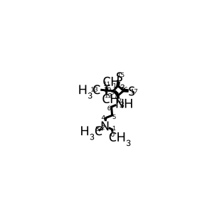 CCN(C)CCCNc1c(C(C)(C)C)c(=S)c1=S